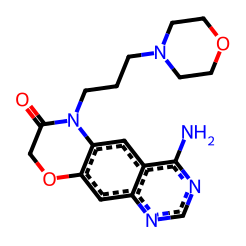 Nc1ncnc2cc3c(cc12)N(CCCN1CCOCC1)C(=O)CO3